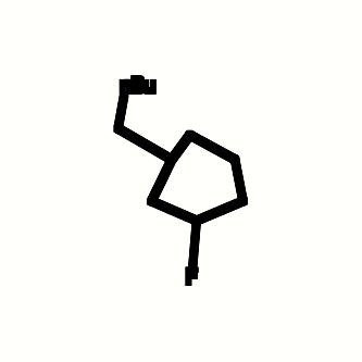 CCCCCC1CCCC(F)C1